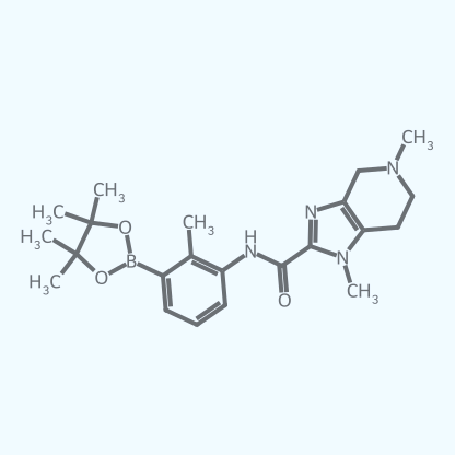 Cc1c(NC(=O)c2nc3c(n2C)CCN(C)C3)cccc1B1OC(C)(C)C(C)(C)O1